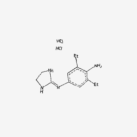 CCc1cc(N=C2NCCN2)cc(CC)c1N.Cl.Cl